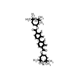 CC1(C)CCC(OC(=O)c2ccc(-c3ccc(C(=O)OC4CCC(C)(C)NC(C)(C)C4)c(F)c3F)c(F)c2F)CC(C)(C)N1